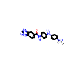 CNc1ccc(Nc2ccc(NC(=O)c3ccc4[nH]cnc4c3)cc2)cc1